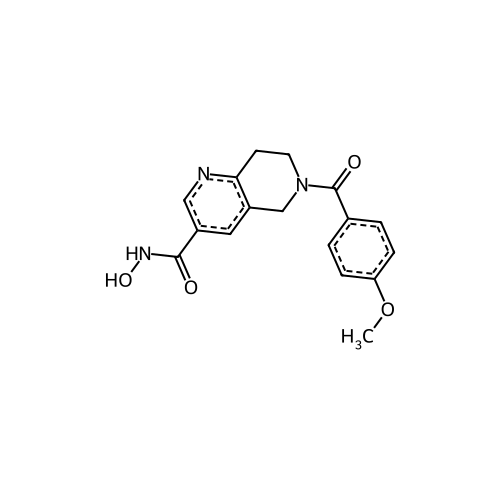 COc1ccc(C(=O)N2CCc3ncc(C(=O)NO)cc3C2)cc1